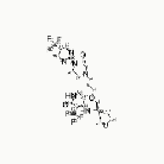 O=C1CN(CCCOC[C@H](Nc2cn[nH]c(=O)c2C(F)(F)F)[C@@H]2CCOC2)CCN1c1ncc(C(F)(F)F)cn1